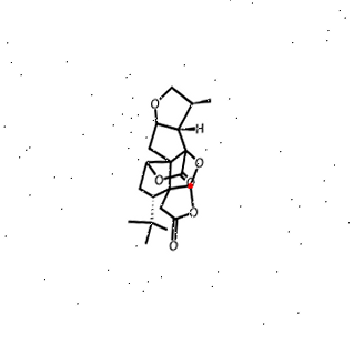 C[C@@H]1COC2CC34C5C[C@@H](C(C)(C)C)C36CC(=O)OC6OC4(C(=O)O5)[C@H]21